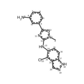 Cn1nc(-c2cccc(N)c2)nc1Nc1ccc2[nH]ncc2c1Cl